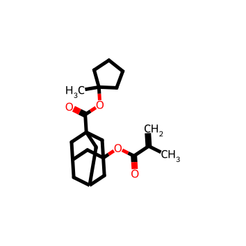 C=C(C)C(=O)OC12CC3CC(C1)CC(C(=O)OC1(C)CCCC1)(C3)C2